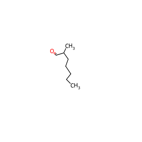 CCCCCC(C)C=O